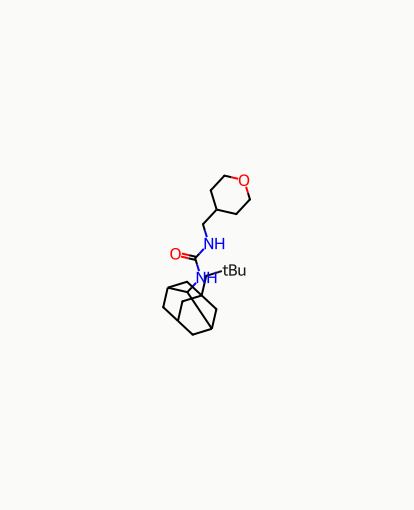 CC(C)(C)CC12CC3CC(C1)C(NC(=O)NCC1CCOCC1)C(C3)C2